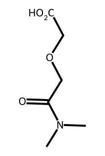 CN(C)C(=O)COCC(=O)O